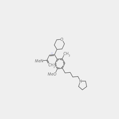 C=C(/C=C(\c1cc(OC)c(CCCCN2CCCC2)cc1C)C1CCOCC1)NC